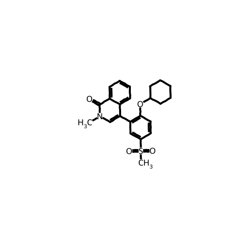 Cn1cc(-c2cc(S(C)(=O)=O)ccc2OC2CCCCC2)c2ccccc2c1=O